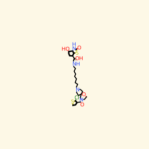 O=C(c1ccsc1Cl)N1CCOC2(CCN(CCCCCCCCCNC[C@H](O)c3ccc(O)c4[nH]c(=O)sc34)CC2)C1